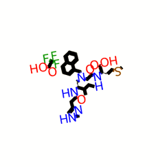 CCC(C)[C@@H](CN(CC(=O)N[C@@H](CCSC)C(=O)O)Cc1cccc2ccccc12)NC(=O)Cc1c[nH]cn1.O=C(O)C(F)(F)F